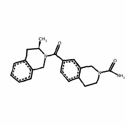 C[C@@H]1Cc2ccccc2CN1C(=O)c1ccc2c(c1)CN(C(N)=O)CC2